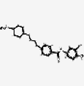 CCCCCC1CCC(CCCCc2ccc(C(=O)Oc3ccc(C#N)c(F)c3)cc2)CC1